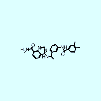 Cc1ccc(C(=O)Nc2cccc(C(C)Nc3ncnc4c(C(N)=O)cccc34)c2)cc1C